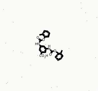 Cc1ccccc1OC(=O)Nc1cc(NC(=O)Oc2ccccc2C)cc(C(=O)O)c1